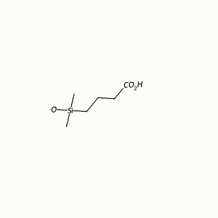 C[Si](C)([O])CCCC(=O)O